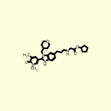 Cc1cc(C2Nc3ccc(CCCNCC(=O)OC4CCCC4)cc3N2CC2CCOCC2)cn(C)c1=O